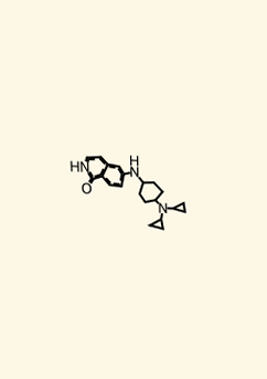 O=c1[nH]ccc2cc(NC3CCC(N(C4CC4)C4CC4)CC3)ccc12